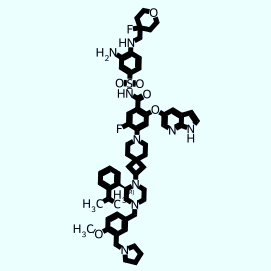 COc1ccc(CN2CCN(C3CC4(CCN(c5cc(Oc6cnc7[nH]ccc7c6)c(C(=O)NS(=O)(=O)c6ccc(NCC7(F)CCOCC7)c(N)c6)cc5F)CC4)C3)[C@H](c3ccccc3C(C)C)C2)cc1CN1CCCC1